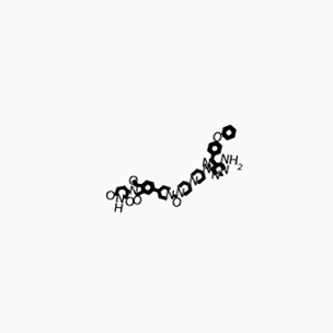 Nc1ncnc2c1c(-c1ccc(Oc3ccccc3)cc1)nn2C1CCN(C2CCN(C(=O)N3CCC(c4ccc5c(c4)C(=O)N(C4CCC(=O)NC4=O)C5=O)CC3)CC2)CC1